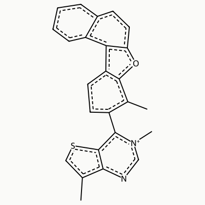 Cc1csc2c(-c3ccc4c(oc5ccc6ccccc6c54)c3C)[n+](C)cnc12